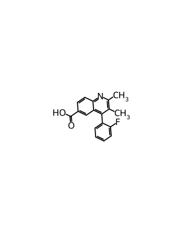 Cc1nc2ccc(C(=O)O)cc2c(-c2ccccc2F)c1C